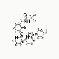 O=C(NCc1cccc(Oc2ncccc2-c2ccnc(N[C@H]3CCCNC3)n2)c1F)C1CC1